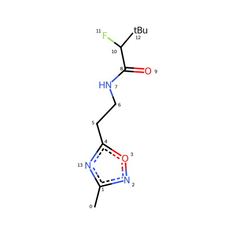 Cc1noc(CCNC(=O)C(F)C(C)(C)C)n1